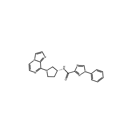 O=C(N[C@@H]1CCN(c2nccn3ccnc23)C1)c1ncn(-c2ccccc2)n1